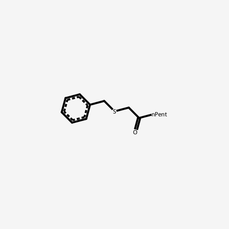 CCCCCC(=O)CSCc1ccccc1